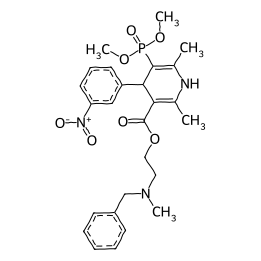 COP(=O)(OC)C1=C(C)NC(C)=C(C(=O)OCCN(C)Cc2ccccc2)C1c1cccc([N+](=O)[O-])c1